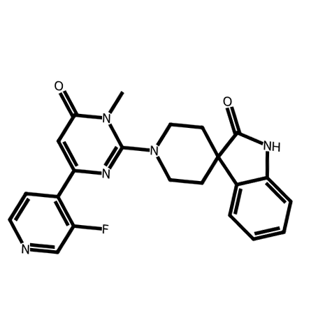 Cn1c(N2CCC3(CC2)C(=O)Nc2ccccc23)nc(-c2ccncc2F)cc1=O